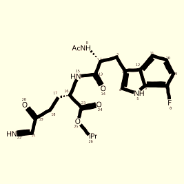 CC(=O)N[C@H](Cc1c[nH]c2c(F)cccc12)C(=O)N[C@@H](CCC(=O)C=N)C(=O)OC(C)C